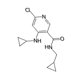 O=C(NCC1CC1)c1cnc(Cl)cc1NC1CC1